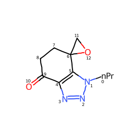 CCCn1nnc2c1C1(CCC2=O)CO1